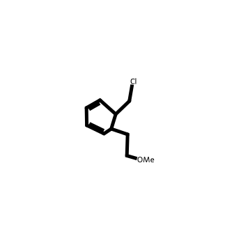 COCCC1C=CC=CC1CCl